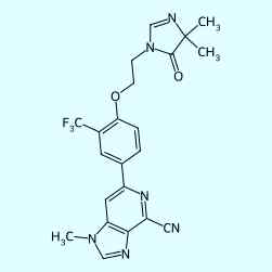 Cn1cnc2c(C#N)nc(-c3ccc(OCCN4C=NC(C)(C)C4=O)c(C(F)(F)F)c3)cc21